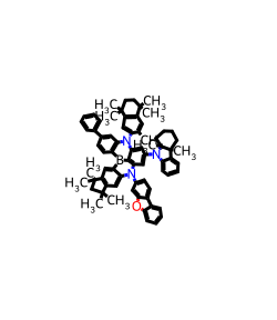 Cc1cc2c(cc1N1c3cc(-c4ccccc4)ccc3B3c4cc5c(cc4N(c4ccc6c(c4)oc4ccccc46)c4cc(N6c7ccccc7C7(C)CCCCC67C)cc1c43)C(C)(C)CC5(C)C)C(C)(C)CCC2(C)C